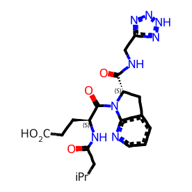 CC(C)CC(=O)N[C@@H](CCC(=O)O)C(=O)N1c2ncccc2C[C@H]1C(=O)NCc1nn[nH]n1